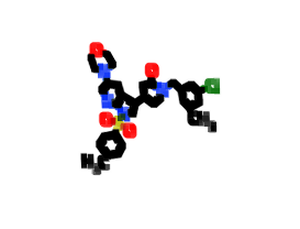 Cc1ccc(S(=O)(=O)n2cc(-c3ccn(Cc4cc(C)cc(Cl)c4)c(=O)c3)c3cc(N4CCOCC4)cnc32)cc1